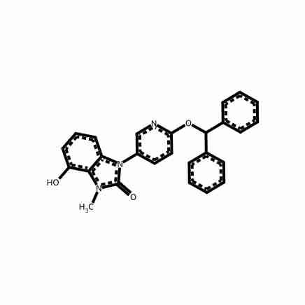 Cn1c(=O)n(-c2ccc(OC(c3ccccc3)c3ccccc3)nc2)c2cccc(O)c21